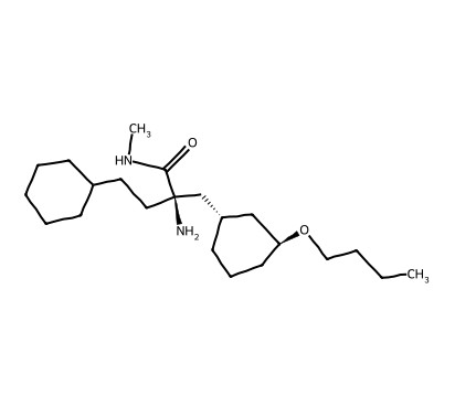 CCCCO[C@H]1CCC[C@H](C[C@](N)(CCC2CCCCC2)C(=O)NC)C1